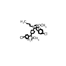 CCCCN1C=NC(Cc2ccc(Cl)cc2)(C(=O)OC)C1C1CCC(C(c2ccc(Cl)cc2)N(C)C)CC1